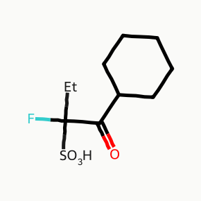 CCC(F)(C(=O)C1CCCCC1)S(=O)(=O)O